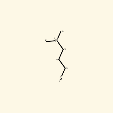 CN(C)CCCS